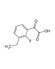 CCc1cccc(C(=O)C(=O)O)c1F